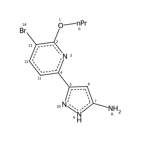 CCCOc1nc(-c2cc(N)[nH]n2)ccc1Br